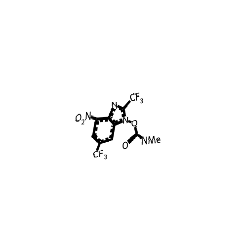 CNC(=O)On1c(C(F)(F)F)nc2c([N+](=O)[O-])cc(C(F)(F)F)cc21